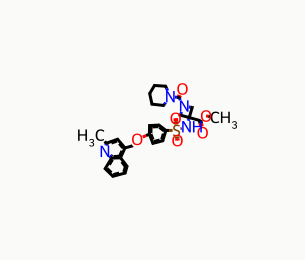 COC(=O)C1(NS(=O)(=O)c2ccc(OCc3cc(C)nc4ccccc34)cc2)CN(C(=O)N2CCCCC2)C1